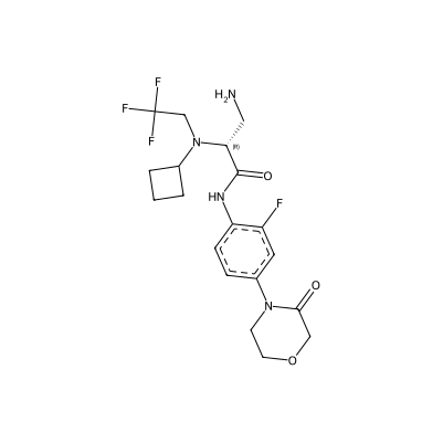 NC[C@H](C(=O)Nc1ccc(N2CCOCC2=O)cc1F)N(CC(F)(F)F)C1CCC1